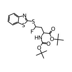 CC(C)(C)OC(=O)NC(CC(F)Sc1nc2ccccc2s1)C(=O)OC(C)(C)C